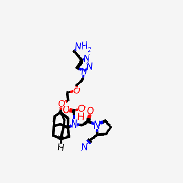 N#CC1CCCN1C(=O)CN(C(=O)O)C12CC3C[C@H](CC(OCCOCCn4cc(CN)nn4)(C3)C1)C2